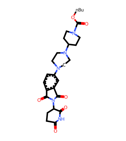 CCCCOC(=O)N1CCC(N2CCN(c3ccc4c(c3)C(=O)N(C3CCC(=O)NC3=O)C4=O)CC2)CC1